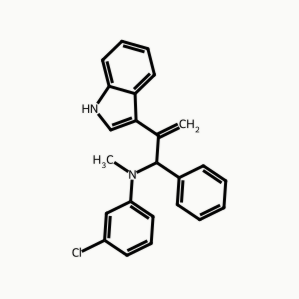 C=C(c1c[nH]c2ccccc12)C(c1ccccc1)N(C)c1cccc(Cl)c1